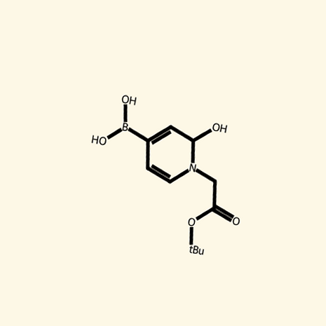 CC(C)(C)OC(=O)CN1C=CC(B(O)O)=CC1O